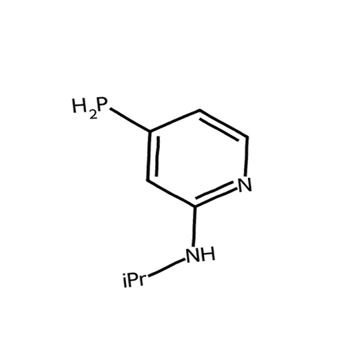 CC(C)Nc1cc(P)ccn1